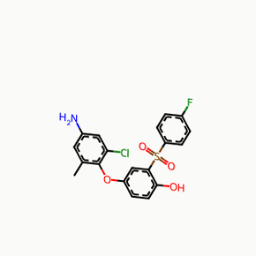 Cc1cc(N)cc(Cl)c1Oc1ccc(O)c(S(=O)(=O)c2ccc(F)cc2)c1